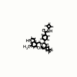 COc1cc(C)c2[nH]ccc2c1CN1CCC2(C[C@@H]1c1ccc(C(=O)NC3CCC3)cc1)CC(F)(F)C2